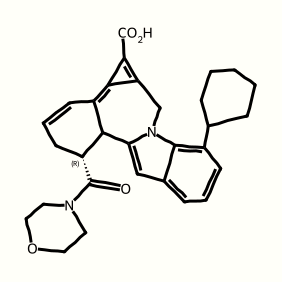 O=C(O)C1=C2Cn3c(cc4cccc(C5CCCCC5)c43)C3C(=C21)C=CC[C@H]3C(=O)N1CCOCC1